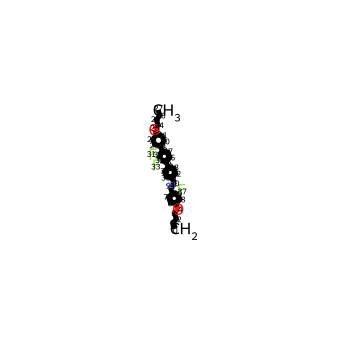 C=CCCOc1ccc(/C=C/c2ccc(-c3ccc(C4CCC(OCCCC)CC4)c(F)c3F)cc2)c(F)c1